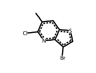 Cc1cc2scc(Br)c2nc1Cl